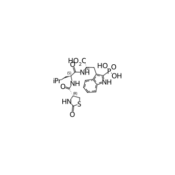 CC(C)C[C@H](NC(=O)[C@@H]1CSC(=O)N1)C(=O)N[C@@H](Cc1c(P(=O)(O)O)[nH]c2ccccc12)C(=O)O